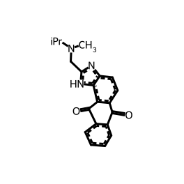 CC(C)N(C)Cc1nc2ccc3c(c2[nH]1)C(=O)c1ccccc1C3=O